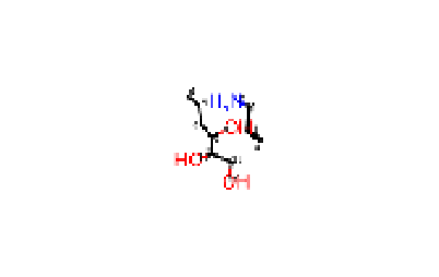 C=CCN.CCCC(O)C(O)CO